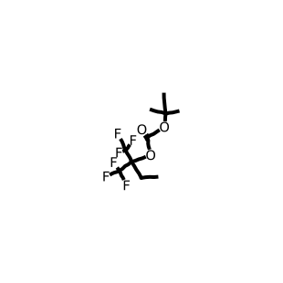 CCC(OC(=O)OC(C)(C)C)(C(F)(F)F)C(F)(F)F